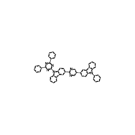 c1ccc(-c2nc(-c3ccccc3)nc(-n3c4ccccc4c4cc(-c5ncc(-c6ccc7c(c6)c6ccccc6n7-c6ccccc6)cn5)ccc43)n2)cc1